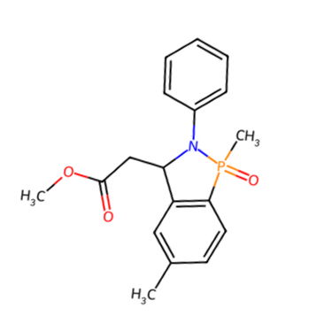 COC(=O)CC1c2cc(C)ccc2P(C)(=O)N1c1ccccc1